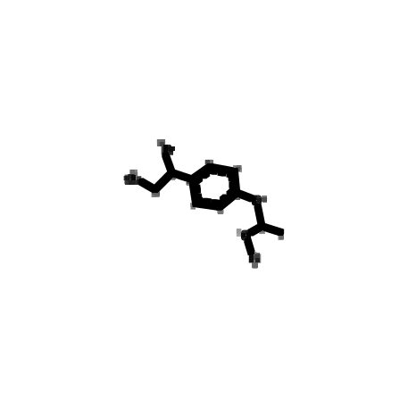 CCOC(C)Oc1ccc(C(CC(C)(C)C)C(C)C)cc1